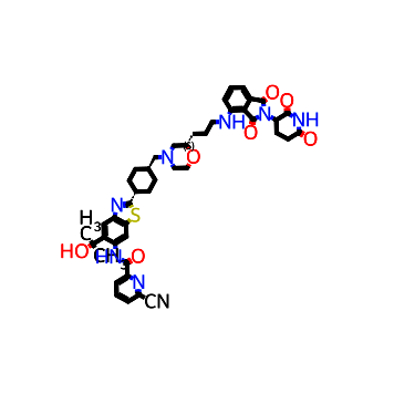 CC(C)(O)c1cc2nc([C@H]3CC[C@H](CN4CCO[C@@H](CCCNc5cccc6c5C(=O)N(C5CCC(=O)NC5=O)C6=O)C4)CC3)sc2cc1NC(=O)c1cccc(C#N)n1